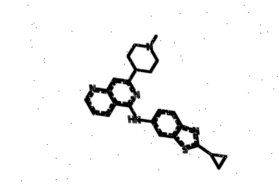 CN1CCC(c2cc3ncccc3c(Nc3ccc4nc(C5CC5)sc4c3)n2)CC1